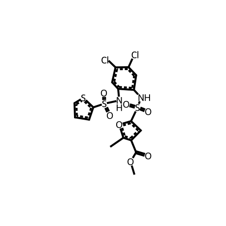 COC(=O)c1cc(S(=O)(=O)Nc2cc(Cl)c(Cl)cc2NS(=O)(=O)c2cccs2)oc1C